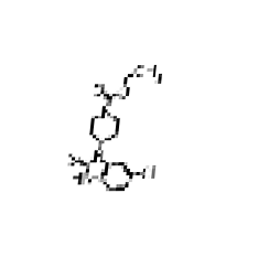 CCOC(=O)N1CCC(n2c(=S)[nH]c3ccc(Cl)cc32)CC1